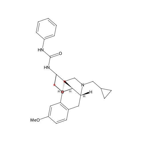 COc1ccc2c(c1)[C@]13CCN(CC4CC4)[C@H](C2)[C@]12CCC(NC(=O)Nc1ccccc1)(CO2)C3